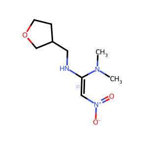 CN(C)/C(=C\[N+](=O)[O-])NCC1CCOC1